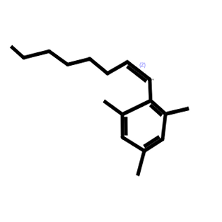 CCCCCC/C=[C]\c1c(C)cc(C)cc1C